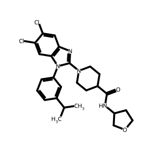 CC(C)c1cccc(-n2c(N3CCC(C(=O)NC4CCOC4)CC3)nc3cc(Cl)c(Cl)cc32)c1